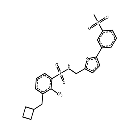 CS(=O)(=O)c1cccc(-c2ccc(CNS(=O)(=O)c3cccc(CC4CCC4)c3C(F)(F)F)s2)c1